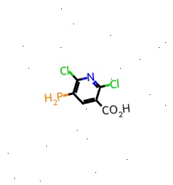 O=C(O)c1cc(P)c(Cl)nc1Cl